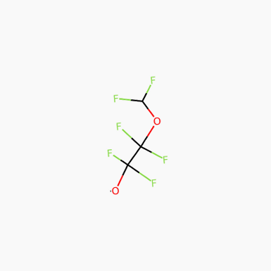 [O]C(F)(F)C(F)(F)OC(F)F